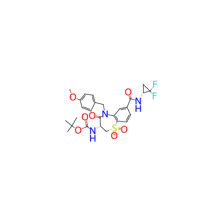 COc1ccc(CN2C(=O)[C@@H](NC(=O)OC(C)(C)C)CS(=O)(=O)c3ccc(C(=O)N[C@@H]4CC4(F)F)cc32)cc1